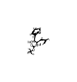 CC(C)CC(NC(=O)OC(C)(C)C)[C@H](O)c1cccs1